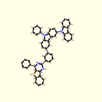 c1ccc(-c2nc(-c3cccc(-c4ccc5c(c4)c4cc(-n6c7ccccc7c7ccccc76)ccc4n5-c4ccccc4)c3)nc3c2sc2ccccc23)cc1